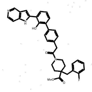 COC(=O)C1(Cc2ccccc2F)CCN(C(=O)Cc2ccc(-c3cccc(-c4cc5cnccc5[nH]4)c3O)cc2)CC1